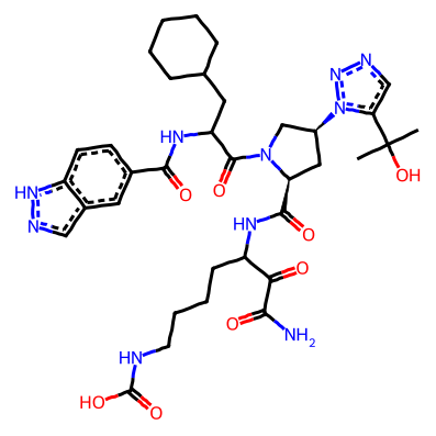 CC(C)(O)c1cnnn1[C@H]1C[C@@H](C(=O)NC(CCCCNC(=O)O)C(=O)C(N)=O)N(C(=O)C(CC2CCCCC2)NC(=O)c2ccc3[nH]ncc3c2)C1